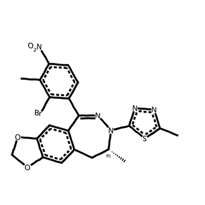 Cc1nnc(N2N=C(c3ccc([N+](=O)[O-])c(C)c3Br)c3cc4c(cc3C[C@H]2C)OCO4)s1